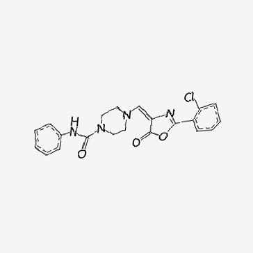 O=C1OC(c2ccccc2Cl)=N/C1=C/N1CCN(C(=O)Nc2ccccc2)CC1